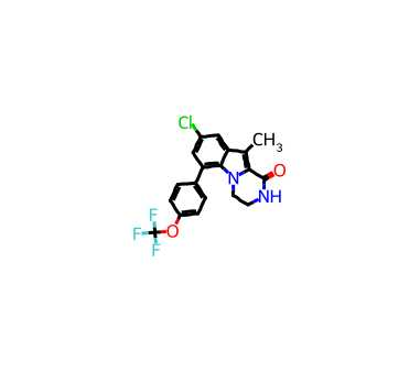 Cc1c2n(c3c(-c4ccc(OC(F)(F)F)cc4)cc(Cl)cc13)CCNC2=O